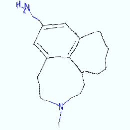 CN1CCc2cc(N)cc3c2C(CCC3)C1